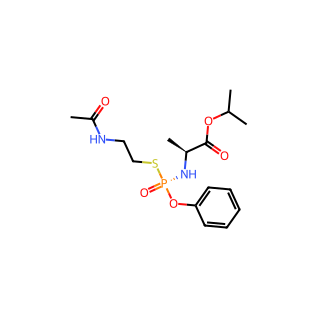 CC(=O)NCCS[P@@](=O)(N[C@@H](C)C(=O)OC(C)C)Oc1ccccc1